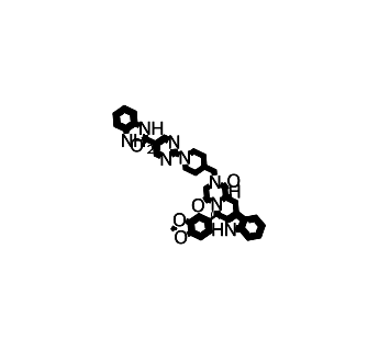 Nc1ccccc1NC(=O)c1cnc(N2CCC(CN3CC(=O)N4[C@H](c5ccc6c(c5)OCO6)c5[nH]c6ccccc6c5C[C@@H]4C3=O)CC2)nc1